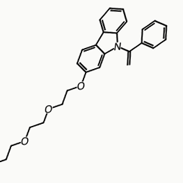 C=C(c1ccccc1)n1c2ccccc2c2ccc(OCCOCCOCCF)cc21